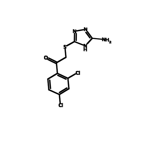 Nc1nnc(SCC(=O)c2ccc(Cl)cc2Cl)[nH]1